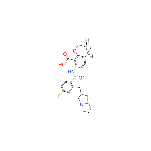 O=C(O)c1c(N[S+]([O-])c2ccc(F)cc2CC2CC3CCCN3C2)ccc2c1OC[C@@H]1C[C@H]21